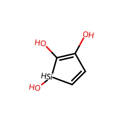 OC1=C(O)[SiH](O)C=C1